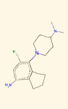 CN(C)C1CCN(c2c(F)cc(N)c3c2CCC3)CC1